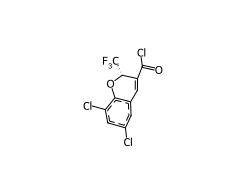 O=C(Cl)C1=Cc2cc(Cl)cc(Cl)c2O[C@@H]1C(F)(F)F